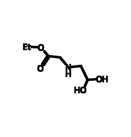 CCOC(=O)CNCC(O)O